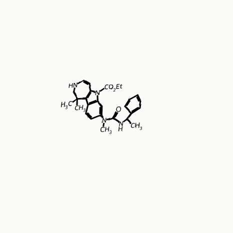 CCOC(=O)n1c2c(c3ccc(N(C)C(=O)NC(C)c4ccccc4)cc31)C(C)(C)CNC=C2